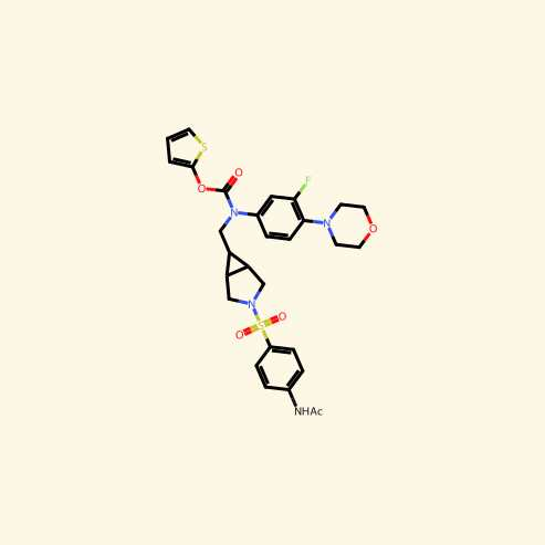 CC(=O)Nc1ccc(S(=O)(=O)N2CC3C(CN(C(=O)Oc4cccs4)c4ccc(N5CCOCC5)c(F)c4)C3C2)cc1